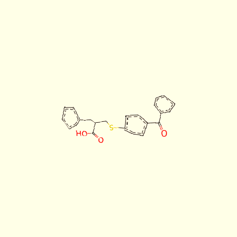 O=C(c1ccccc1)c1ccc(SCC(Cc2ccccc2)C(=O)O)cc1